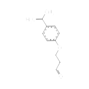 CC(C)c1ccc(OCCC=O)cc1